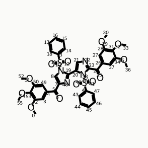 COc1cc(C(=O)c2cn(S(=O)(=O)c3ccccc3)c(-c3cnc(C(=O)c4cc(OC)c(OC)c(OC)c4)n3S(=O)(=O)c3ccccc3)n2)cc(OC)c1OC